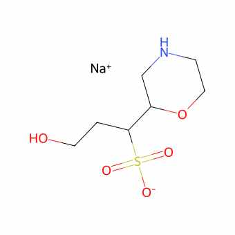 O=S(=O)([O-])C(CCO)C1CNCCO1.[Na+]